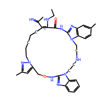 CCN/C1=C(\C(C)=N)CCCCCn2nc(C)cc2CONc2nc3ccccc3n2CCNCCn2c(nc3cc(C)ccc32)NC1=O